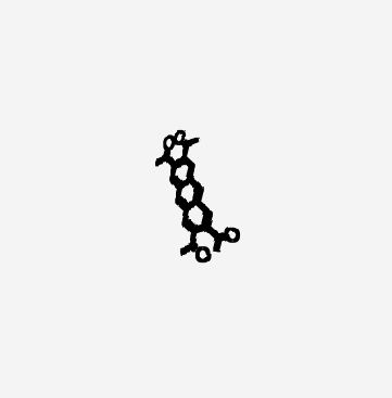 CC(=O)c1cc2cc3cc(C(C)=O)c(C(C)=O)cc3cc2cc1C(C)=O